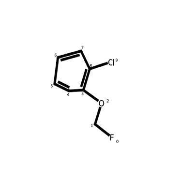 FCOc1[c]cccc1Cl